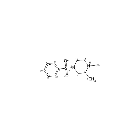 CC1CN(S(=O)(=O)c2ccccc2)CCN1I